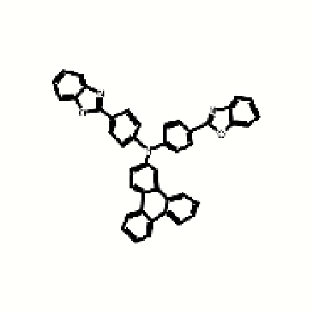 c1ccc2oc(-c3ccc(N(c4ccc(-c5nc6ccccc6o5)cc4)c4ccc5c6ccccc6c6ccccc6c5c4)cc3)nc2c1